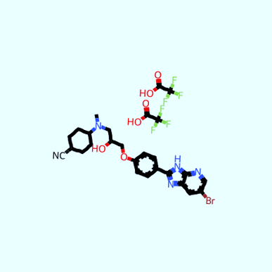 CN(CC(O)COc1ccc(-c2nc3cc(Br)cnc3[nH]2)cc1)C1CCC(C#N)CC1.O=C(O)C(F)(F)F.O=C(O)C(F)(F)F